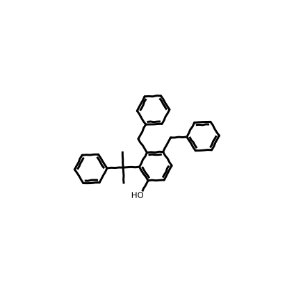 CC(C)(c1ccccc1)c1c(O)ccc(Cc2ccccc2)c1Cc1ccccc1